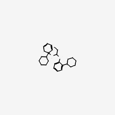 CCC(Oc1ccccc1C1CCCCC1)OC1(C2CCCCC2)C=CC=CC1